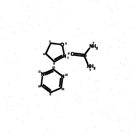 C1=NOCC1.NC(N)=O.c1cncnc1